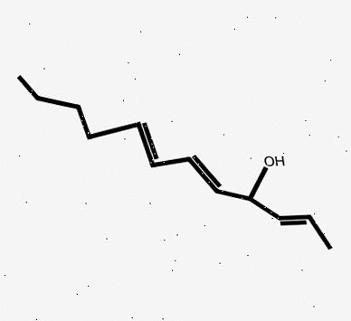 CC=CC(O)/C=C/C=C/CCCC